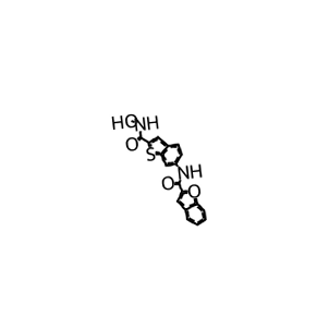 O=C(Nc1ccc2cc(C(=O)NO)sc2c1)c1cc2ccccc2o1